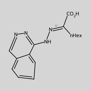 CCCCCC/C(=N\Nc1nncc2ccccc12)C(=O)O